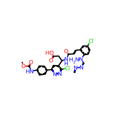 C=N/N=C\N(N)c1ccc(Cl)cc1/C=C/C(=O)NC(CC(=O)O)c1cc(-c2ccc(NC(=O)OC)cc2)nnc1Cl